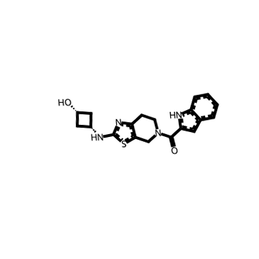 O=C(c1cc2ccccc2[nH]1)N1CCc2nc(N[C@H]3C[C@@H](O)C3)sc2C1